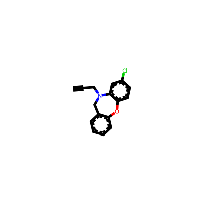 C#CCN1Cc2ccccc2Oc2ccc(Cl)cc21